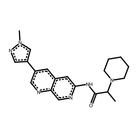 CC(C(=O)Nc1cc2cc(-c3cnn(C)c3)cnc2cn1)N1CCCCC1